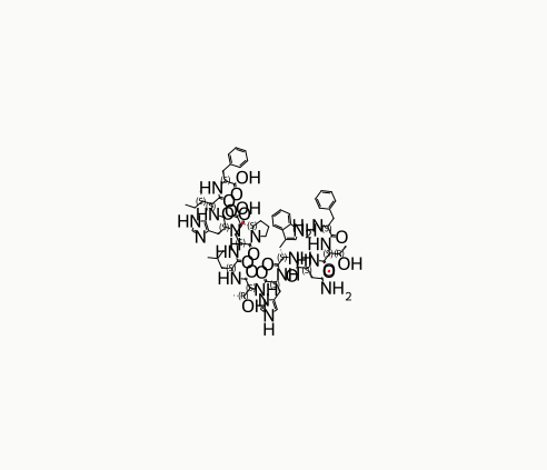 CC[C@H](C)[C@H](NC(=O)[C@H](Cc1c[nH]cn1)NC(=O)[C@@H]1CCCN1C(=O)[C@H](CCC(=O)O)NC(=O)[C@H](CC(C)C)NC(=O)[C@@H](NC(=O)[C@H](Cc1c[nH]cn1)NC(=O)[C@H](Cc1c[nH]c2ccccc12)NC(=O)[C@H](CC(N)=O)NC(=O)[C@@H](NC(=O)[C@@H](N)Cc1ccccc1)[C@@H](C)O)[C@@H](C)O)C(=O)N[C@@H](Cc1ccccc1)C(=O)O